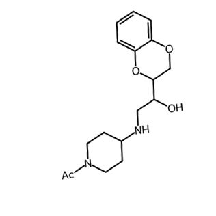 CC(=O)N1CCC(NCC(O)C2COc3ccccc3O2)CC1